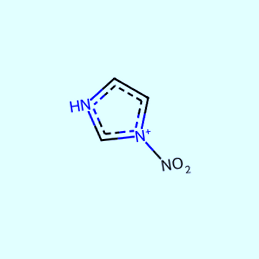 O=[N+]([O-])[n+]1cc[nH]c1